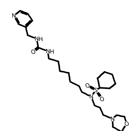 O=C(NCCCCCCCN(CCCN1CCOCC1)S(=O)(=O)C1CCCCC1)NCc1cccnc1